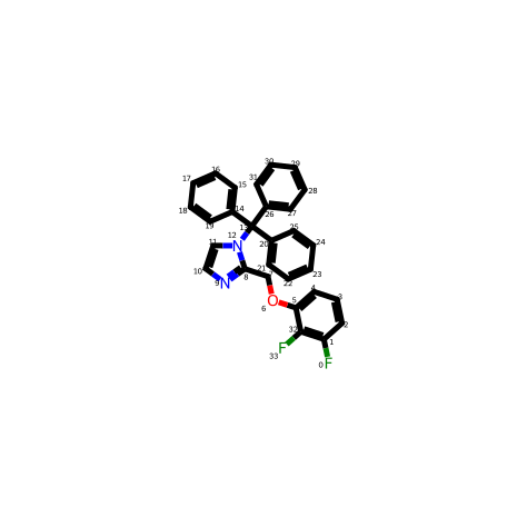 Fc1cccc(OCc2nccn2C(c2ccccc2)(c2ccccc2)c2ccccc2)c1F